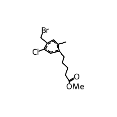 COC(=O)CCCCc1cc(Cl)c(CBr)cc1C